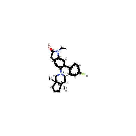 CCN1C(=O)Cc2cc(N3CC[C@H]4CCC[C@@H]4C3)c(-c3ccc(F)cc3)cc21